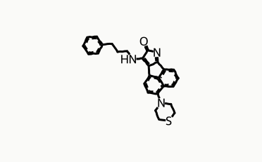 O=C1N=C2C(=C1NCCCc1ccccc1)c1ccc(N3CCSCC3)c3cccc2c13